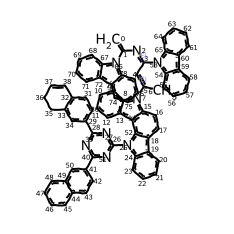 C=C(/N=C(\C=C(/C)n1c2ccccc2c2c1ccc1c3ccccc3n(-c3nc(-c4ccc5c(c4)CCC=C5)nc(-c4ccc5ccccc5c4)n3)c12)n1c2ccccc2c2ccccc21)n1c2ccccc2c2ccccc21